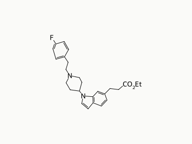 CCOC(=O)CCc1ccc2ccn(C3CCN(CCc4ccc(F)cc4)CC3)c2c1